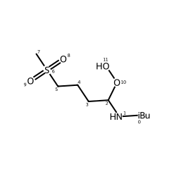 CCC(C)NC(CCCS(C)(=O)=O)OO